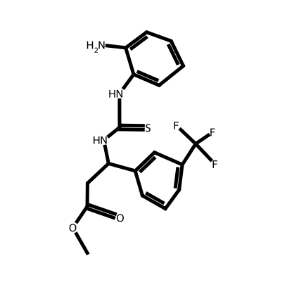 COC(=O)CC(NC(=S)Nc1ccccc1N)c1cccc(C(F)(F)F)c1